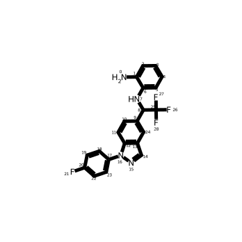 Nc1ccccc1NC(c1ccc2c(cnn2-c2ccc(F)cc2)c1)C(F)(F)F